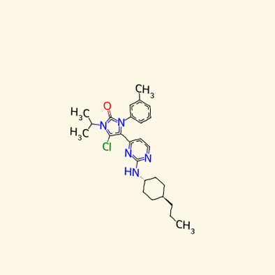 CCC[C@H]1CC[C@H](Nc2nccc(-c3c(Cl)n(C(C)C)c(=O)n3-c3cccc(C)c3)n2)CC1